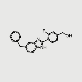 OCc1ccc(-c2nc3cc(Cc4ccccc4)ccc3[nH]2)c(F)c1